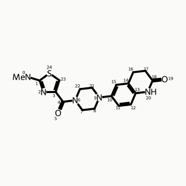 CNc1nc(C(=O)N2CCN(c3ccc4c(c3)CCC(=O)N4)CC2)cs1